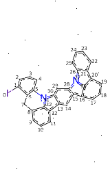 Ic1cccc2c1Cc1cccc3c4cc5c6cccc7c8ccccc8n(c5cc4n-2c13)c76